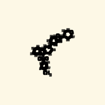 Cc1ccc(S(=O)(=O)n2c3c(c4ccccc42)CN(c2ccc4oc(N5CCOCC5)nc4n2)CC3)cc1